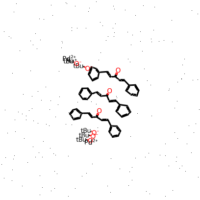 CC(C)(C)[O-].CC(C)(C)[O-].CC(C)(C)[O-].CC(C)(C)[O-].CC(C)(C)[O-].O=C(C=Cc1ccccc1)C=Cc1ccccc1.O=C(C=Cc1ccccc1)C=Cc1ccccc1.O=C(C=Cc1ccccc1)C=Cc1ccccc1.[Na+].[Pd+2].[Pd+2]